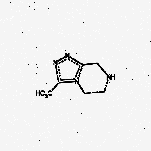 O=C(O)c1nnc2n1CCNC2